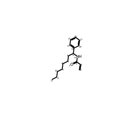 C=CC(=O)NC(CCCCCCC)c1ccccc1